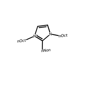 CCCCCCCCCc1n(CCCCCCCC)cc[n+]1CCCCCCCC